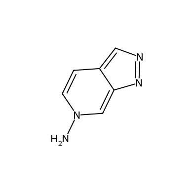 Nn1ccc2cnnc-2c1